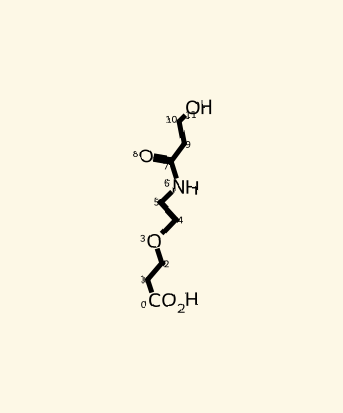 O=C(O)CCOCCNC(=O)CCO